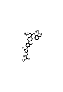 CCC(Oc1cccc2c1B(O)OC2)N1CCN(c2ccc(N3CC(CNC(C)=O)OC3=O)cc2F)CC1